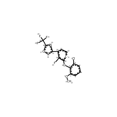 COc1cccc(Cl)c1Oc1[c]ccc(-c2noc(C(F)(F)F)n2)c1F